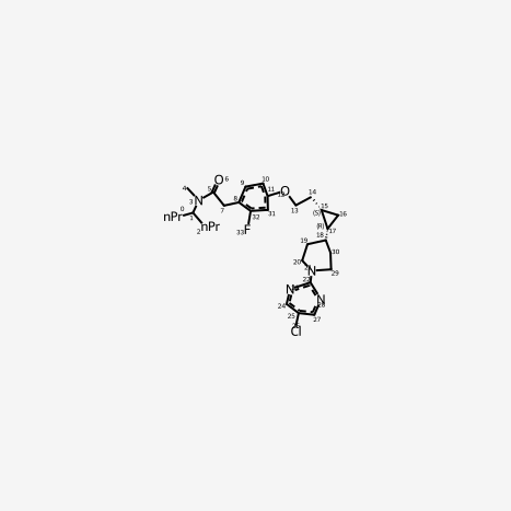 CCCC(CCC)N(C)C(=O)Cc1ccc(OCC[C@@H]2C[C@@H]2C2CCN(c3ncc(Cl)cn3)CC2)cc1F